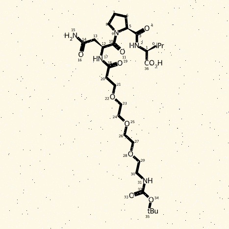 CC(C)[C@H](NC(=O)[C@@H]1CCCN1C(=O)[C@H](CC(N)=O)NC(=O)CCOCCOCCOCCNC(=O)OC(C)(C)C)C(=O)O